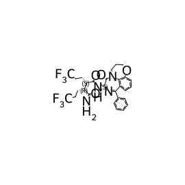 NC(=O)[C@H](CCC(F)(F)F)[C@H](CCC(F)(F)F)C(=O)N[C@H]1N=C(c2ccccc2)c2cccc3c2N(CCCO3)C1=O